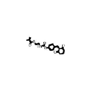 C=C(C)C(=O)OCCNC(=O)Oc1ccc(CC2C(=O)CCCC2=O)cc1